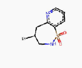 CCC1CNS(=O)(=O)c2cccnc2C1